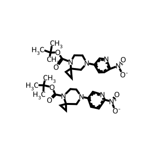 CC(C)(C)OC(=O)N1CCN(c2ccc([N+](=O)[O-])nc2)CC12CC2.CC(C)(C)OC(=O)N1CCN(c2ccc([N+](=O)[O-])nc2)CC12CC2